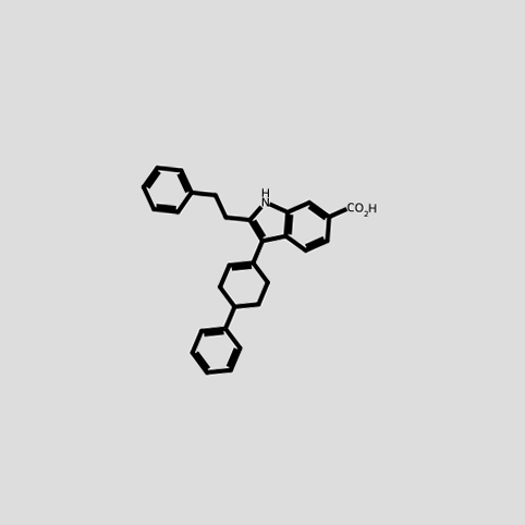 O=C(O)c1ccc2c(C3=CCC(c4ccccc4)CC3)c(CCc3ccccc3)[nH]c2c1